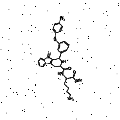 COC(=O)C(CCCCN)NC(=O)C1Cc2c([nH]c3ccccc23)C(c2cccc(Oc3ccc(C(F)(F)F)cc3)c2)N1